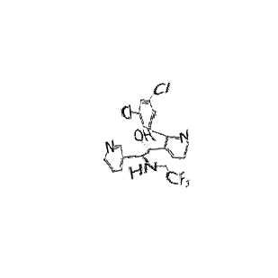 O[C@H](c1cccnc1-c1cc(Cl)cc(Cl)c1)[C@@H](NCC(F)(F)F)c1cccnc1